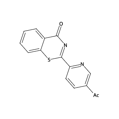 CC(=O)c1ccc(-c2nc(=O)c3ccccc3s2)nc1